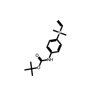 C=C[Si](C)(C)c1ccc(NC(=O)OC(C)(C)C)cc1